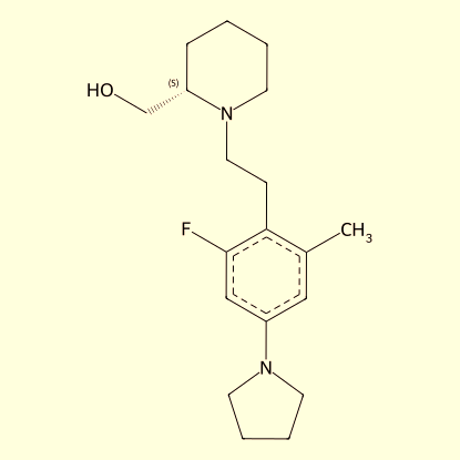 Cc1cc(N2CCCC2)cc(F)c1CCN1CCCC[C@H]1CO